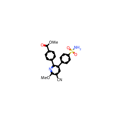 COC(=O)c1ccc(-c2nc(OC)c(C#N)cc2-c2ccc(S(N)(=O)=O)cc2)cc1